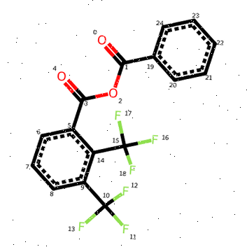 O=C(OC(=O)c1cccc(C(F)(F)F)c1C(F)(F)F)c1ccccc1